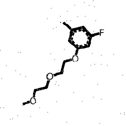 [CH2]c1cc(F)cc(OCCOCCOC)c1